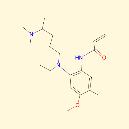 C=CC(=O)Nc1cc(C)c(OC)cc1N(CC)CCCC(C)N(C)C